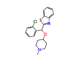 CN1CCC(OC(c2nc3ccccc3s2)c2ccccc2Cl)CC1